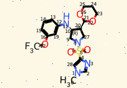 Cn1cnc(S(=O)(=O)N2C[C@H](Nc3cccc(OC(F)(F)F)c3)[C@@H](C3OCCCO3)C2)c1